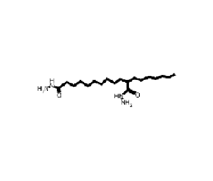 CCCCCCCC(CCCCCCCCCC(=O)NN)C(=O)NN